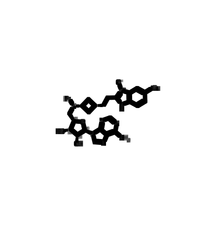 CC(C)N(C[C@H]1O[C@@H](n2cnc3c(N)ncnc32)[C@H](O)[C@@H]1O)[C@H]1C[C@@H](CCc2[nH]c3ccc(C(C)(C)C)cc3[n+]2[O-])C1